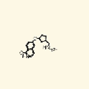 CCCNCC1CCC(Oc2ccc3c(=O)[nH]ccc3c2)C1